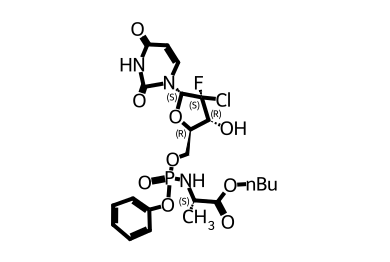 CCCCOC(=O)[C@H](C)NP(=O)(OC[C@H]1O[C@H](n2ccc(=O)[nH]c2=O)[C@@](F)(Cl)[C@@H]1O)Oc1ccccc1